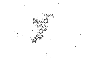 NC(=O)c1cccc([C@@H]2C[C@H](C(F)(F)F)CCN2C2CCOc3cc(S(=O)(=O)Nc4ncns4)ccc32)c1